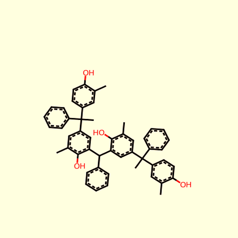 Cc1cc(C(C)(c2ccccc2)c2cc(C)c(O)c(C(c3ccccc3)c3cc(C(C)(c4ccccc4)c4ccc(O)c(C)c4)cc(C)c3O)c2)ccc1O